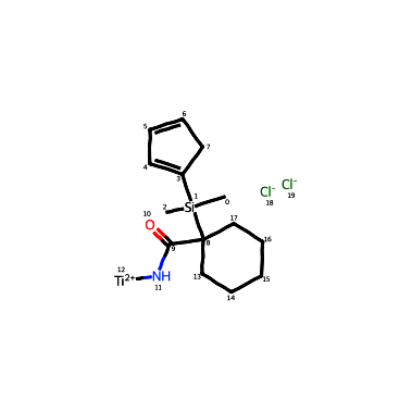 C[Si](C)(C1=CC=CC1)C1(C(=O)[NH][Ti+2])CCCCC1.[Cl-].[Cl-]